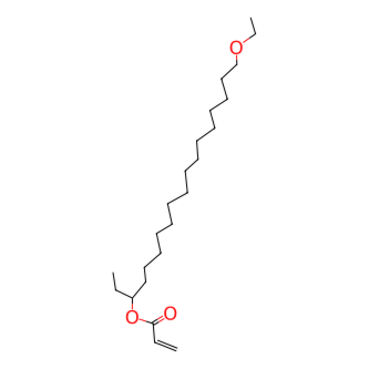 C=CC(=O)OC(CC)CCCCCCCCCCCCCCCOCC